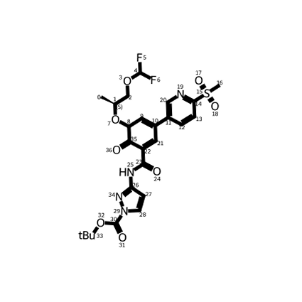 C[C@@H](COC(F)F)OC1C=C(c2ccc(S(C)(=O)=O)nc2)C=C(C(=O)Nc2ccn(C(=O)OC(C)(C)C)n2)C1=O